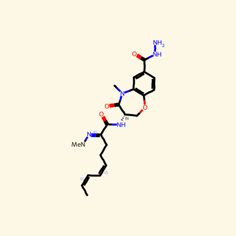 C/C=C\C=C/CC/C(=N\NC)C(=O)N[C@H]1COc2ccc(C(=O)NN)cc2N(C)C1=O